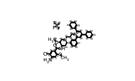 COc1cc(N)c(Cl)cc1C(=O)N[C@H]1CCN(CCC[n+]2c(-c3ccccc3)cc(-c3ccccc3)cc2-c2ccccc2)C[C@H]1OC.F[B-](F)(F)F